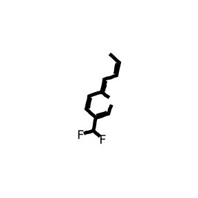 C\C=C/C=C(C)/C=C\C(=C/C)C(F)F